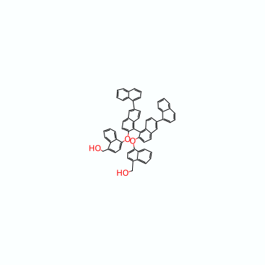 OCc1ccc(Oc2ccc3cc(-c4cccc5ccccc45)ccc3c2-c2c(Oc3ccc(CO)c4ccccc34)ccc3cc(-c4cccc5ccccc45)ccc23)c2ccccc12